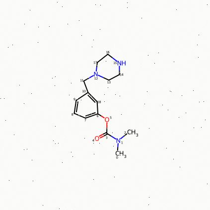 CN(C)C(=O)Oc1cccc(CN2CCNCC2)c1